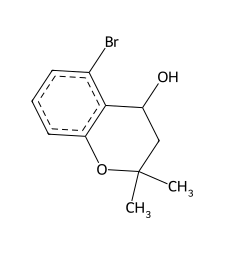 CC1(C)CC(O)c2c(Br)cccc2O1